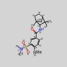 CCN(C)S(=O)(=O)c1cc(C(=O)NC2C3(C)CCC(C3)C2(C)C)ccc1NC